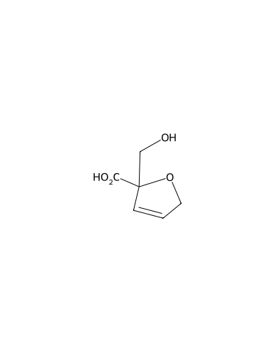 O=C(O)C1(CO)C=CCO1